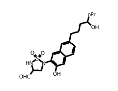 CCCC(O)CCCc1ccc2cc(O)c(N3CC(C=O)NS3(=O)=O)cc2c1